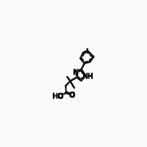 CC(C)(CC(=O)O)c1c[nH]c(-c2cc[c]cc2)n1